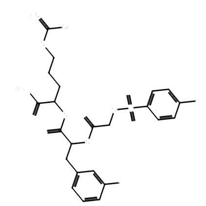 COC(=O)C(CCCNC(=N)N)NC(=O)C(Cc1cccc(F)c1)NC(=O)CNS(=O)(=O)c1ccc(C)cc1